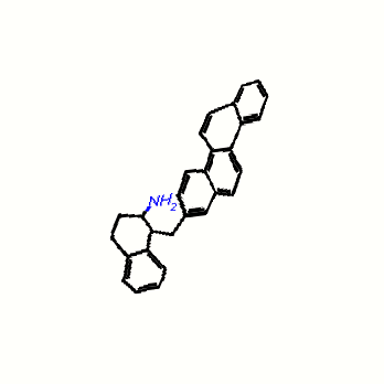 NC1CCc2ccccc2C1Cc1ccc2c(ccc3c4ccccc4ccc23)c1